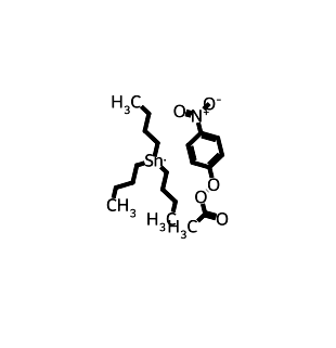 CC(=O)OOc1ccc([N+](=O)[O-])cc1.CCC[CH2][Sn]([CH2]CCC)[CH2]CCC